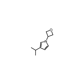 CC(C)c1ccn(C2COC2)c1